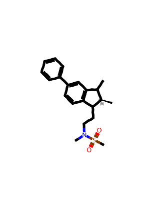 CC1c2cc(-c3ccccc3)ccc2C(CCN(C)S(C)(=O)=O)[C@@H]1C